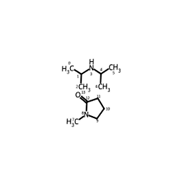 CC(C)NC(C)C.CN1CCCC1=O